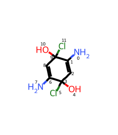 NC1=CC(O)(Cl)C(N)=CC1(O)Cl